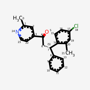 Cc1cc(C(=O)C[C@@H](c2ccccc2)c2ccc(Cl)cc2C)ccn1